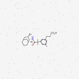 CC[C@@H]1CC2CCC[C@@H](C2)[C@H]1NC(=O)C(C)(C)c1cc(C)cc(CCC(=O)O)c1